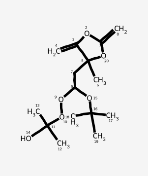 C=C1OC(=C)C(C)(CC(OOC(C)(C)O)OC(C)(C)C)O1